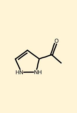 CC(=O)C1C=CNN1